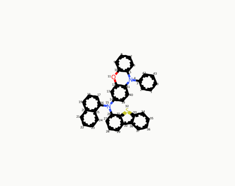 c1ccc(N2c3ccccc3Oc3cc(N(c4cccc5ccccc45)c4cccc5c4sc4ccccc45)ccc32)cc1